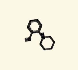 Oc1ccccc1[SiH]1CCCCC1